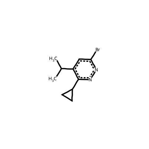 CC(C)c1cc(Br)nnc1C1CC1